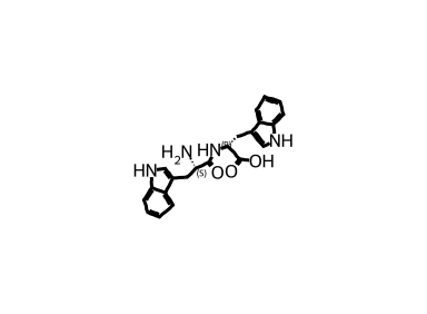 N[C@@H](Cc1c[nH]c2ccccc12)C(=O)N[C@H](Cc1c[nH]c2ccccc12)C(=O)O